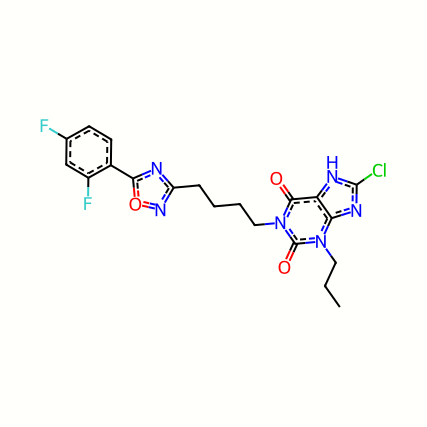 CCCn1c(=O)n(CCCCc2noc(-c3ccc(F)cc3F)n2)c(=O)c2[nH]c(Cl)nc21